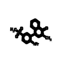 CCCc1ccc(S(C)(=O)=O)cc1-c1cn(C)c(=O)c2ccccc12